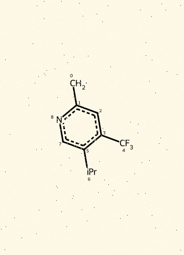 [CH2]c1cc(C(F)(F)F)c(C(C)C)cn1